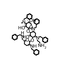 CN(Cc1ccccc1)[C@@H]1[C@@H](O)C(OC2[C@@H](O)C(OC3O[C@H](CNCc4ccccc4)CC[C@H]3NCc3ccccc3)[C@@H](N(CCN)Cc3ccccc3)C[C@H]2NCc2ccccc2)OC[C@]1(C)O